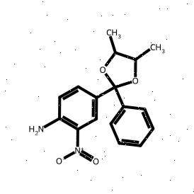 CC1OC(c2ccccc2)(c2ccc(N)c([N+](=O)[O-])c2)OC1C